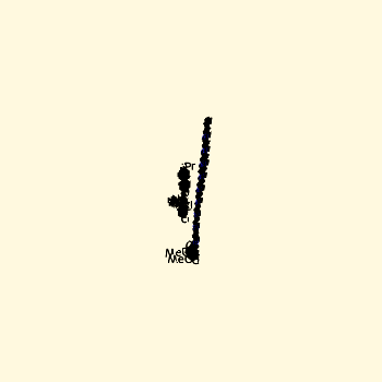 CC(C)N1CCN(c2ccc(OC[C@H]3CO[C@](Cn4cncn4)(c4ccc(Cl)cc4Cl)O3)cc2)CC1.COC1=C(OC)C(=O)C(C/C=C(\C)CC/C=C(\C)CC/C=C(\C)CC/C=C(\C)CC/C=C(\C)CC/C=C(\C)CC/C=C(\C)CC/C=C(\C)CC/C=C(\C)CCC=C(C)C)=C(C)C1=O